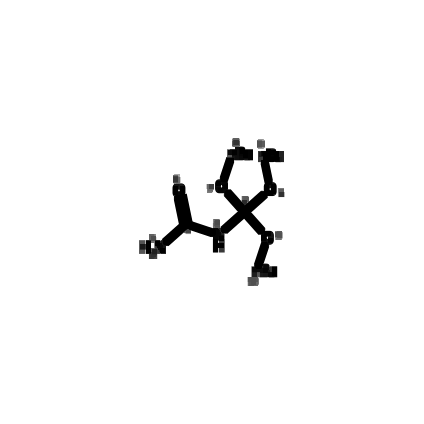 CCCCOC(NC(N)=O)(OCCCC)OCCCC